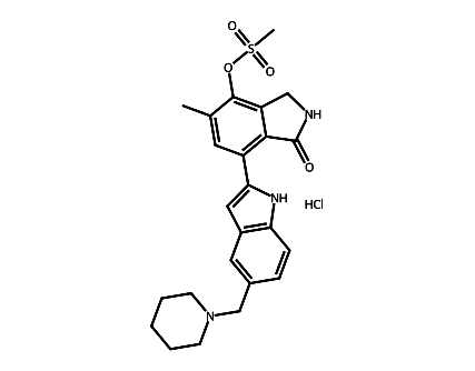 Cc1cc(-c2cc3cc(CN4CCCCC4)ccc3[nH]2)c2c(c1OS(C)(=O)=O)CNC2=O.Cl